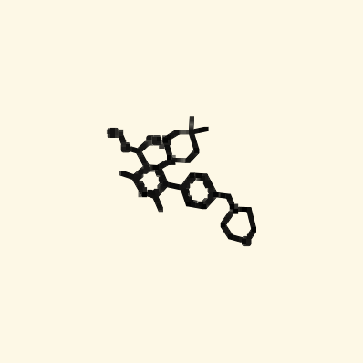 Cc1nc(C)c(C(OC(C)(C)C)C(=O)O)c(N2CCC(C)(C)CC2)c1-c1ccc(CN2CCOCC2)cc1